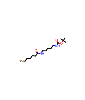 CC(C)(C)OC(=O)NCCCCCNC(=O)CCCCCS